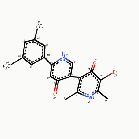 Cc1[nH]c(C)c(-c2c[nH]c(-c3cc(C(F)(F)F)cc(C(F)(F)F)c3)cc2=O)c(=O)c1Br